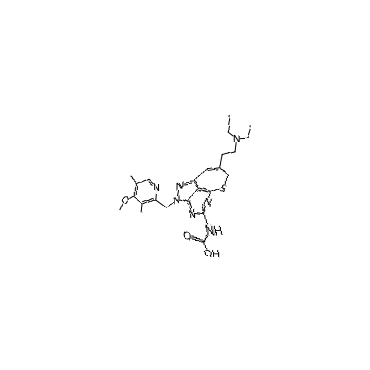 CCN(CC)CCC1=Cc2nn(Cc3ncc(C)c(OC)c3C)c3nc(NC(=O)O)nc(c23)SC1